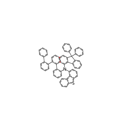 c1ccc(-c2ccccc2-c2ccccc2-c2ccccc2N(c2cccc3c2-c2ccccc2C3(c2ccccc2)c2ccccc2)c2cccc3sc4ccccc4c23)cc1